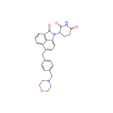 O=C1CCC(N2C(=O)c3cccc4c(Cc5ccc(CN6CCOCC6)cc5)ccc2c34)C(=O)N1